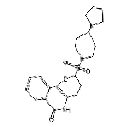 O=c1[nH]c2c(c3ccccc13)CC(S(=O)(=O)N1CCC(N3CCCC3)CC1)CC2